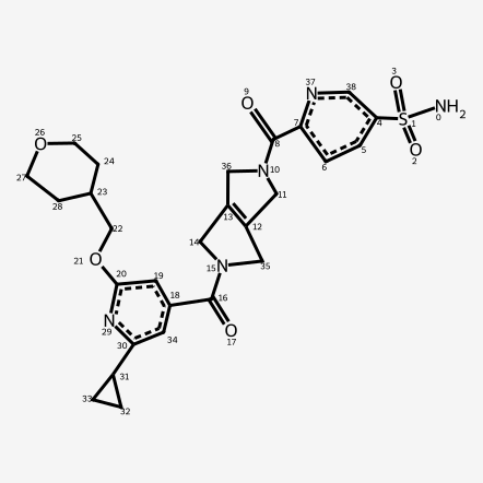 NS(=O)(=O)c1ccc(C(=O)N2CC3=C(CN(C(=O)c4cc(OCC5CCOCC5)nc(C5CC5)c4)C3)C2)nc1